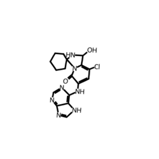 O=c1c(Nc2ncnc3nc[nH]c23)cc(Cl)c2n1C1(CCCCC1)NC2O